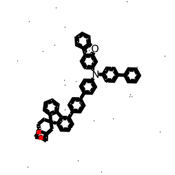 c1ccc(-c2ccc(N(c3ccc(-c4ccc(-c5cccc6c5-c5ccccc5C65CC6CCC7CC8CC5C7C86)cc4)cc3)c3ccc4c(c3)oc3ccccc34)cc2)cc1